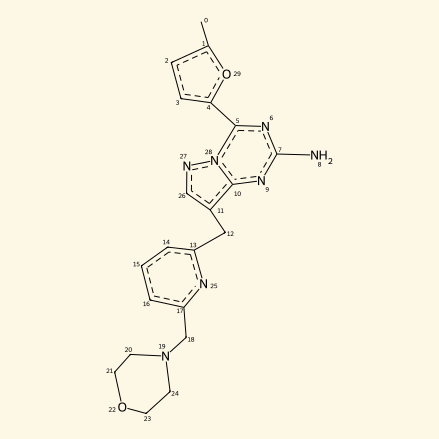 Cc1ccc(-c2nc(N)nc3c(Cc4cccc(CN5CCOCC5)n4)cnn23)o1